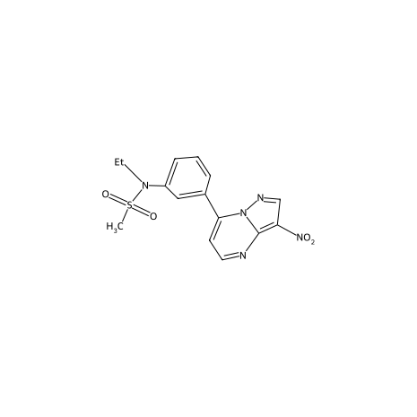 CCN(c1cccc(-c2ccnc3c([N+](=O)[O-])cnn23)c1)S(C)(=O)=O